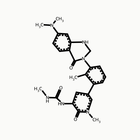 CNC(=O)Nc1cc(-c2cccc(N3CNc4cc(N(C)C)ccc4C3=O)c2C)cn(C)c1=O